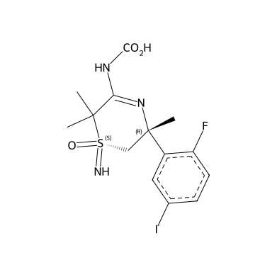 CC1(C)C(NC(=O)O)=N[C@](C)(c2cc(I)ccc2F)C[S@]1(=N)=O